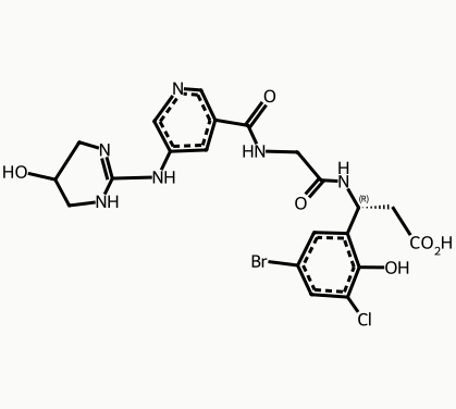 O=C(O)C[C@@H](NC(=O)CNC(=O)c1cncc(NC2=NCC(O)CN2)c1)c1cc(Br)cc(Cl)c1O